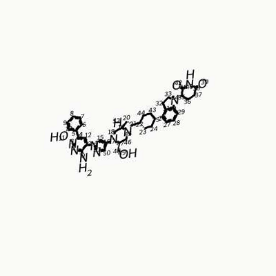 Nc1nnc(-c2ccccc2O)cc1-n1cc(N2C[C@@H]3C[C@H]([C@H]4CC[C@@H](c5cccc6c5CCN6[C@H]5CCC(=O)NC5=O)CC4)N3C[C@H]2CO)cn1